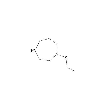 CCSN1CCCNCC1